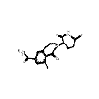 Cc1cc(C(N)=O)cc2c1C(=O)N(C1CCC(=O)NC1=O)C2